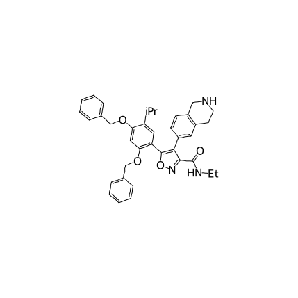 CCNC(=O)c1noc(-c2cc(C(C)C)c(OCc3ccccc3)cc2OCc2ccccc2)c1-c1ccc2c(c1)CCNC2